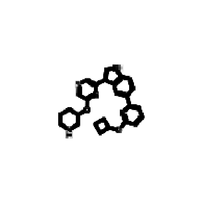 c1cc(OC2CCC2)nc(-c2ccc3[nH]cc(-c4cncc(OC5CCCNC5)n4)c3c2)c1